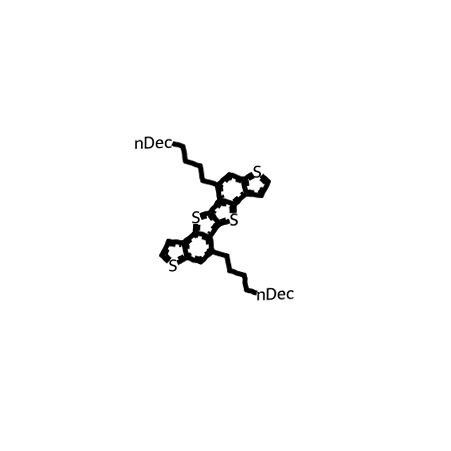 CCCCCCCCCCCCCCc1cc2sccc2c2sc3c(sc4c5ccsc5cc(CCCCCCCCCCCCCC)c43)c12